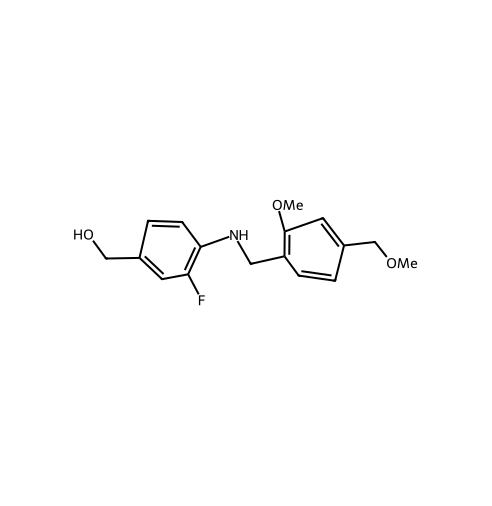 COCc1ccc(CNc2ccc(CO)cc2F)c(OC)c1